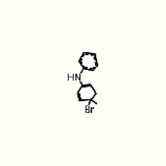 CC1(Br)C=CC(Nc2ccccc2)=CC1